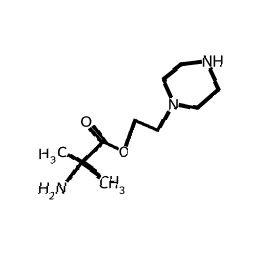 CC(C)(N)C(=O)OCCN1CCNCC1